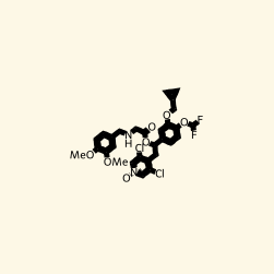 COc1ccc(CNCC(=O)OC(Cc2c(Cl)c[n+]([O-])cc2Cl)c2ccc(OC(F)F)c(OCC3CC3)c2)cc1OC